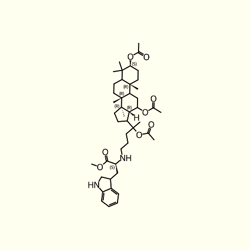 COC(=O)[C@H](CC1CNc2ccccc21)NCCCC(C)(OC(C)=O)C1CC[C@]2(C)[C@@H]1C(OC(C)=O)CC1[C@@]3(C)CC[C@H](OC(C)=O)C(C)(C)C3CC[C@]12C